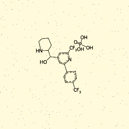 O=P(O)(O)O.OC(c1cc(-c2ccc(C(F)(F)F)cc2)nc(C(F)(F)F)c1)C1CCCCN1